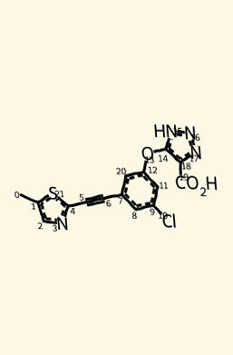 Cc1cnc(C#Cc2cc(Cl)cc(Oc3[nH]nnc3C(=O)O)c2)s1